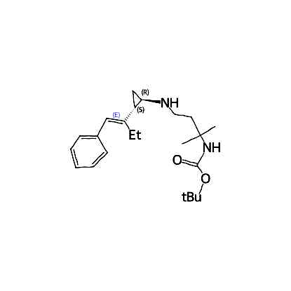 CC/C(=C\c1ccccc1)[C@@H]1C[C@H]1NCCC(C)(C)NC(=O)OC(C)(C)C